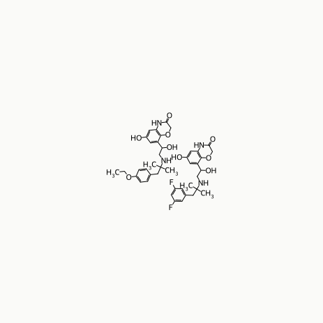 CC(C)(Cc1cc(F)cc(F)c1)NCC(O)c1cc(O)cc2c1OCC(=O)N2.CCOc1ccc(CC(C)(C)NCC(O)c2cc(O)cc3c2OCC(=O)N3)cc1